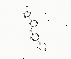 CN1CCN(c2ccc(Nc3cccc(-c4ncc(Cl)s4)n3)nc2)CC1